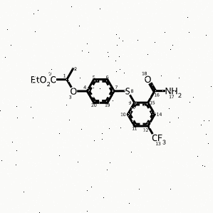 CCOC(=O)C(C)Oc1ccc(Sc2ccc(C(F)(F)F)cc2C(N)=O)cc1